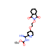 CC(C)(C)OC(=O)NC(=N)c1cc(OCCON2C(=O)c3ccccc3C2=O)ccn1